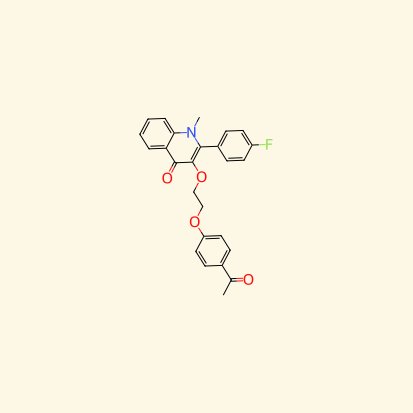 CC(=O)c1ccc(OCCOc2c(-c3ccc(F)cc3)n(C)c3ccccc3c2=O)cc1